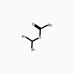 CCC(C)C(=O)OC(C(C)C)C(C)C